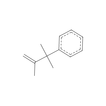 C=C(C)C(C)(C)c1ccccc1